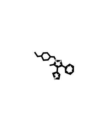 CCC1CCC(Cn2nc(-c3ccccc3)c(-c3ccsc3)c2C)CC1